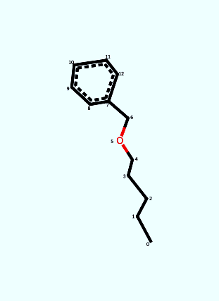 CCCCCO[CH]c1ccccc1